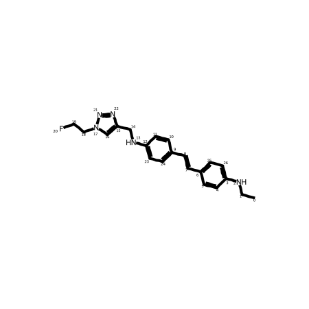 CCNc1ccc(C=Cc2ccc(NCc3cn(CCF)nn3)cc2)cc1